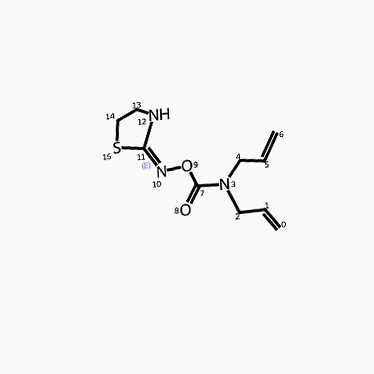 C=CCN(CC=C)C(=O)O/N=C1\NCCS1